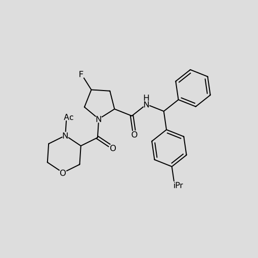 CC(=O)N1CCOCC1C(=O)N1CC(F)CC1C(=O)NC(c1ccccc1)c1ccc(C(C)C)cc1